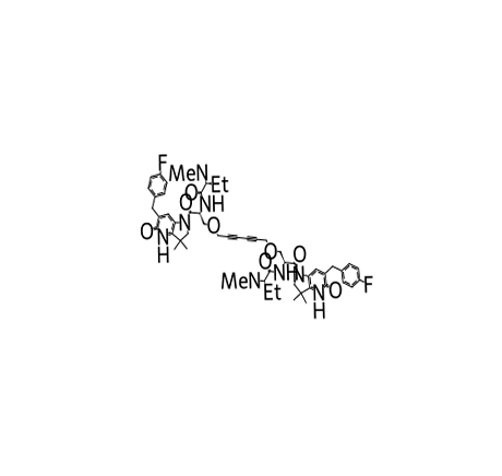 CC[C@H](NC)C(=O)N[C@@H](COCC#CC#CCOC[C@H](NC(=O)[C@H](CC)NC)C(=O)N1CC(C)(C)c2[nH]c(=O)c(Cc3ccc(F)cc3)cc21)C(=O)N1CC(C)(C)c2[nH]c(=O)c(Cc3ccc(F)cc3)cc21